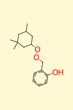 CC1CC(OOCc2ccccc2O)CC(C)(C)C1